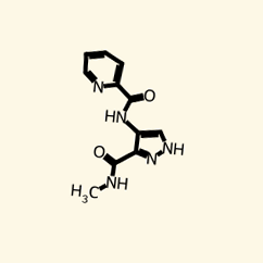 CNC(=O)c1n[nH]cc1NC(=O)c1ccccn1